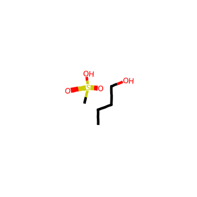 CCCCO.CS(=O)(=O)O